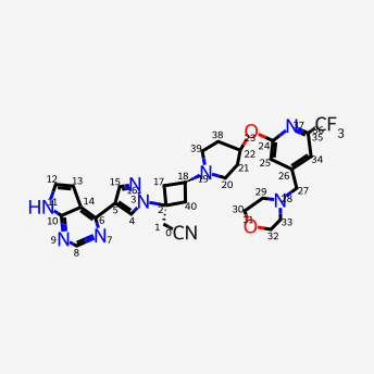 N#CC[C@]1(n2cc(-c3ncnc4[nH]ccc34)cn2)C[C@@H](N2CCC(Oc3cc(CN4CCOCC4)cc(C(F)(F)F)n3)CC2)C1